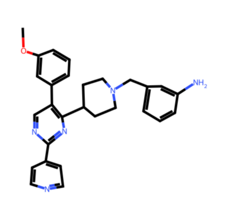 COc1cccc(-c2cnc(-c3ccncc3)nc2C2CCN(Cc3cccc(N)c3)CC2)c1